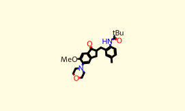 COc1cc2c(cc1N1CCOCC1)CC(Cc1cc(C)ccc1NC(=O)C(C)(C)C)C2=O